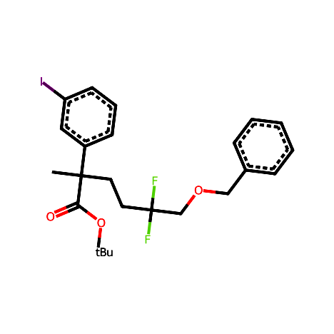 CC(C)(C)OC(=O)C(C)(CCC(F)(F)COCc1ccccc1)c1cccc(I)c1